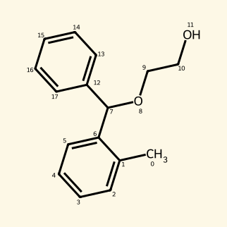 Cc1ccccc1C(OCCO)c1ccccc1